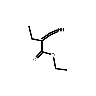 CCOC(=O)C(=C=N)CC